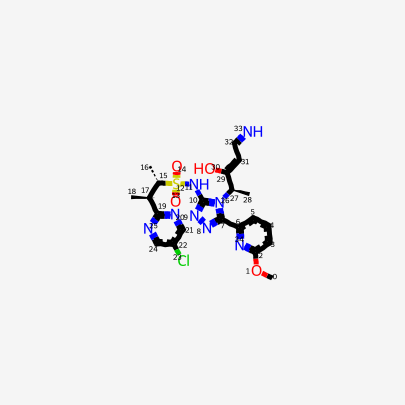 COc1cccc(-c2nnc(NS(=O)(=O)[C@@H](C)[C@H](C)c3ncc(Cl)cn3)n2[C@H](C)/C(O)=C/C=N)n1